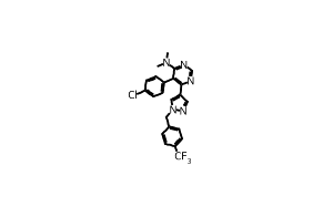 CN(C)c1ncnc(-c2cnn(Cc3ccc(C(F)(F)F)cc3)c2)c1-c1ccc(Cl)cc1